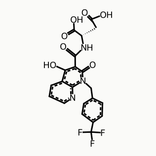 O=C(O)C[C@H](NC(=O)c1c(O)c2cccnc2n(Cc2ccc(C(F)(F)F)cc2)c1=O)C(=O)O